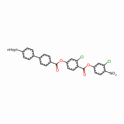 CCCCCCCc1ccc(-c2ccc(C(=O)Oc3ccc(C(=O)Oc4ccc([N+](=O)[O-])c(Cl)c4)c(Cl)c3)cc2)cc1